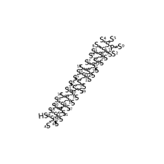 S=P(=S)S(=S)(=S)S(=S)(=S)S(=S)(=S)S(=S)(=S)S(=S)(=S)S(=S)(=S)S(=S)(=S)S(=S)(=S)S(=S)(=S)S(=S)(=S)S(=S)(=S)S(=S)(=S)S(=S)(=S)S(=S)(=S)S(=S)(=S)S